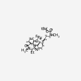 CCC1c2nc3ccc(C#CCCN(C)C(=O)OC(C)(C)C)cc3n2-c2c(OC(F)F)cccc2C(=O)N1C